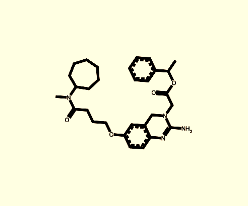 CC(OC(=O)CN1Cc2cc(OCCCC(=O)N(C)C3CCCCCC3)ccc2N=C1N)c1ccccc1